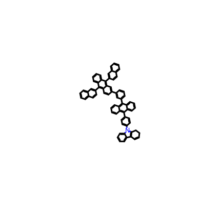 C1=Cc2c(n(-c3ccc(-c4c5ccccc5c(-c5cccc(-c6ccc7c(-c8ccc9ccccc9c8)c8ccccc8c(-c8ccc9ccccc9c8)c7c6)c5)c5ccccc45)cc3)c3ccccc23)CC1